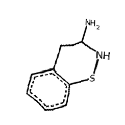 NC1Cc2ccccc2SN1